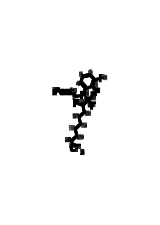 CCCC(C)CP(c1cccc(F)c1F)C(F)(F)C(F)CCCCCCC(F)(F)F